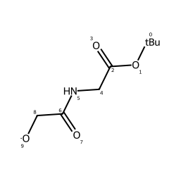 CC(C)(C)OC(=O)CNC(=O)C[O]